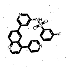 O=S(=O)(Nc1cncc(-c2ccc3nccc(-c4ccncc4)c3c2)c1)c1cccc(F)c1